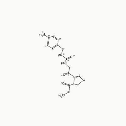 COC(=O)C1CCCN1C(=O)CNC(=O)NCc1ccc(N)cc1